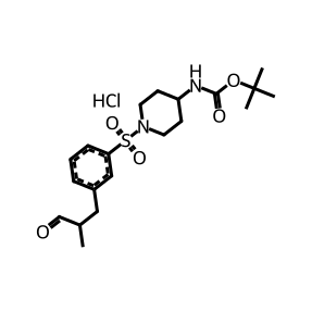 CC(C=O)Cc1cccc(S(=O)(=O)N2CCC(NC(=O)OC(C)(C)C)CC2)c1.Cl